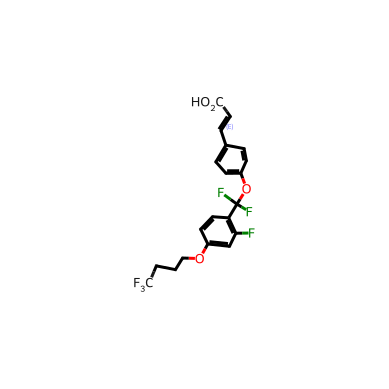 O=C(O)/C=C/c1ccc(OC(F)(F)c2ccc(OCCCC(F)(F)F)cc2F)cc1